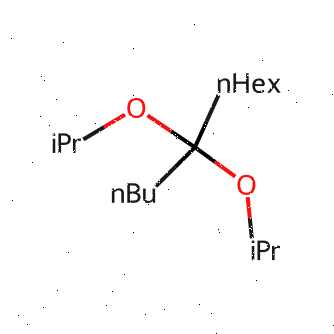 CCCCCCC(CCCC)(OC(C)C)OC(C)C